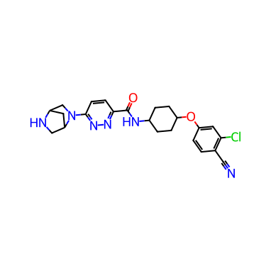 N#Cc1ccc(OC2CCC(NC(=O)c3ccc(N4CC5CC4CN5)nn3)CC2)cc1Cl